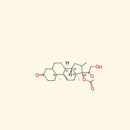 CC(=O)O[C@]1(C(=O)CO)C(C)C[C@H]2[C@@H]3CCC4CC(=O)CC[C@]4(C)C3=CC[C@@]21C